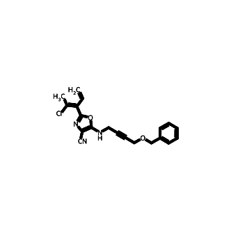 C=C/C(=C(\C)Cl)c1nc(C#N)c(NCC#CCOCc2ccccc2)o1